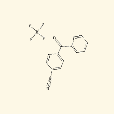 F[B-](F)(F)F.N#[N+]c1ccc(C(=O)c2ccccc2)cc1